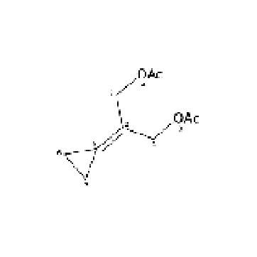 CC(=O)OCC(COC(C)=O)=C1CC1